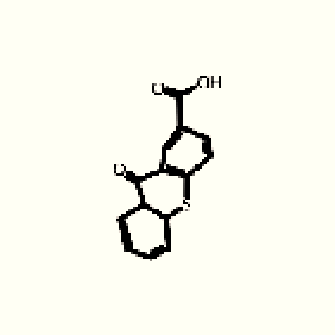 O=C(O)c1ccc2c(c1)C(=O)C1C=CC=CC1S2